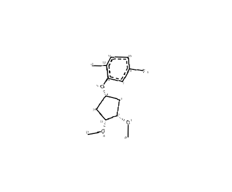 CO[C@H]1C[C@@H](Oc2cc(F)ccc2C)C[C@H]1OC